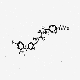 CNc1ccc(C(=O)NC2(C(=O)NCc3ccc(Nc4ccc(F)cc4C(F)(F)F)cn3)CC2)cn1